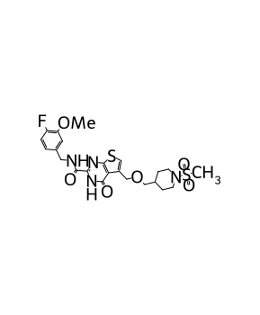 COc1cc(CNC(=O)c2nc3scc(COCC4CCN(S(C)(=O)=O)CC4)c3c(=O)[nH]2)ccc1F